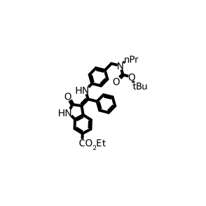 CCCN(Cc1ccc(N/C(=C2\C(=O)Nc3cc(C(=O)OCC)ccc32)c2ccccc2)cc1)C(=O)OC(C)(C)C